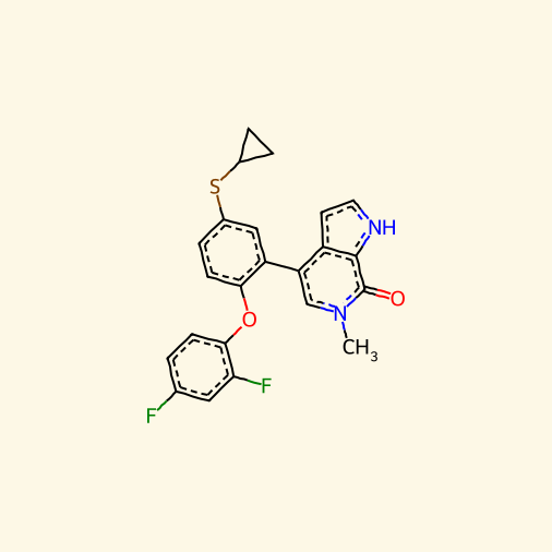 Cn1cc(-c2cc(SC3CC3)ccc2Oc2ccc(F)cc2F)c2cc[nH]c2c1=O